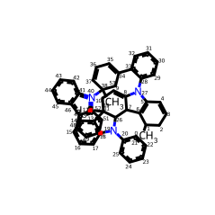 CC1CC=CC2=C1C1C(=CCC3(C)c4ccccc4N(c4ccccc4)C13)N2c1ccccc1C1=CC=CC(C)(n2c3ccccc3c3ccccc32)C1